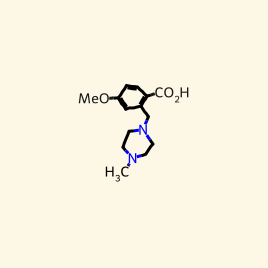 COc1ccc(C(=O)O)c(CN2CCN(C)CC2)c1